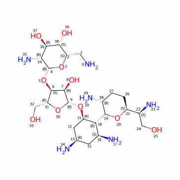 NC[C@@H]1O[C@H](O[C@H]2[C@@H](O)[C@H](O[C@@H]3C[C@H](N)C[C@H](N)[C@H]3C3O[C@H]([C@@H](N)CO)CC[C@H]3N)O[C@@H]2CO)[C@H](N)[C@@H](O)[C@@H]1O